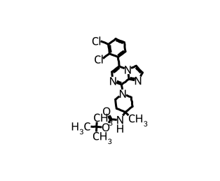 CC1(NC(=O)OC(C)(C)C)CCN(c2ncc(-c3cccc(Cl)c3Cl)n3ccnc23)CC1